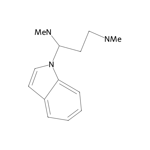 CNCCC(NC)n1ccc2ccccc21